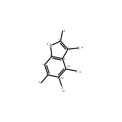 Cc1cc2sc(C)c(I)c2c(I)c1I